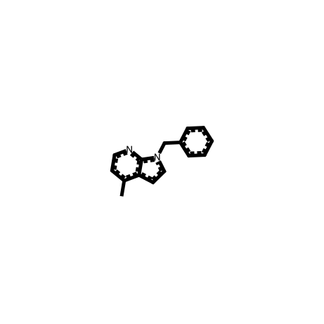 Cc1ccnc2c1ccn2Cc1ccccc1